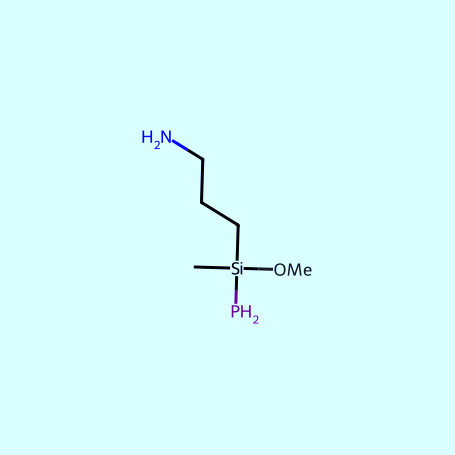 CO[Si](C)(P)CCCN